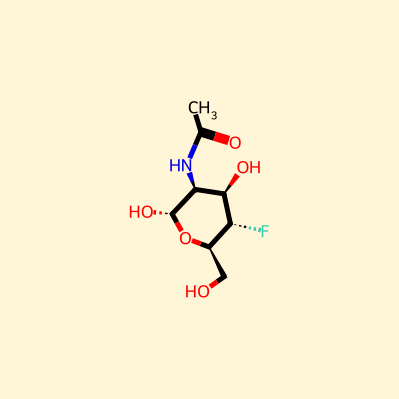 CC(=O)N[C@H]1[C@@H](O)[C@H](F)[C@@H](CO)O[C@@H]1O